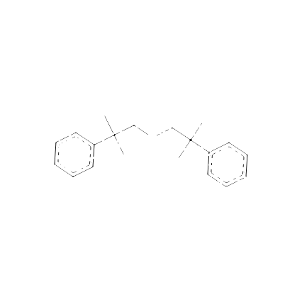 CC(C)(COCC(C)(C)c1ccccc1)c1ccccc1